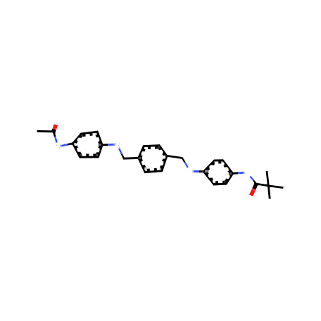 CC(=O)Nc1ccc(NCc2ccc(CNc3ccc(NC(=O)C(C)(C)C)cc3)cc2)cc1